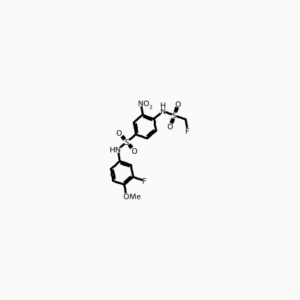 COc1ccc(NS(=O)(=O)c2ccc(NS(=O)(=O)CF)c([N+](=O)[O-])c2)cc1F